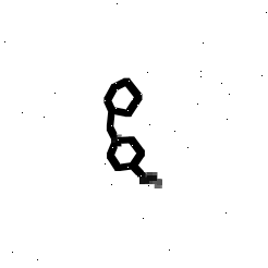 NC1CCN(CC2CCCCC2)CC1